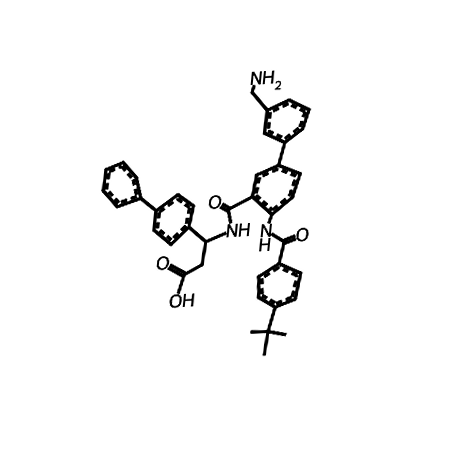 CC(C)(C)c1ccc(C(=O)Nc2ccc(-c3cccc(CN)c3)cc2C(=O)NC(CC(=O)O)c2ccc(-c3ccccc3)cc2)cc1